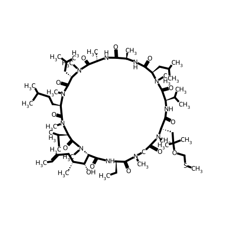 C/C=C/C[C@@H](C)[C@@H](O)[C@H]1C(=O)N[C@H](CC)C(=O)N(C)CC(=O)N(C)[C@@H](CC(C)(C)OCSC)C(=O)N[C@H](C(C)C)C(=O)N(C)[C@H](CC(C)C)C(=O)N[C@H](C)C(=O)N[C@@H](C)C(=O)N(C)[C@@H](CC(C)C)C(=O)N(C)[C@H](CCC(C)C)C(=O)N(C)[C@H](C(C)C)C(=O)N1C